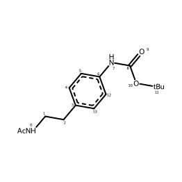 CC(=O)NCCc1ccc(NC(=O)OC(C)(C)C)cc1